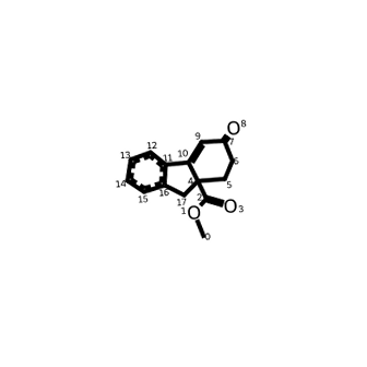 COC(=O)C12CCC(=O)C=C1c1ccccc1C2